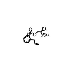 C=CCc1ccccc1[PH](=O)OCC(CC)CCCC